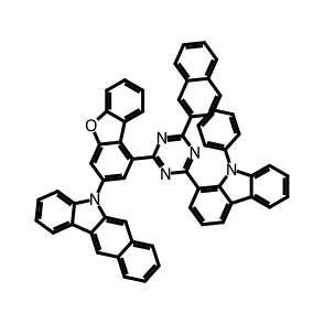 c1ccc(-n2c3ccccc3c3cccc(-c4nc(-c5ccc6ccccc6c5)nc(-c5cc(-n6c7ccccc7c7cc8ccccc8cc76)cc6oc7ccccc7c56)n4)c32)cc1